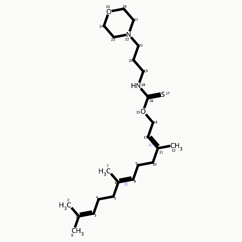 CC(C)=CCC/C(C)=C/CC/C(C)=C/COC(=S)NCCCN1CCOCC1